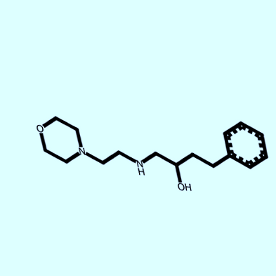 OC(CCc1ccccc1)CNCCN1CCOCC1